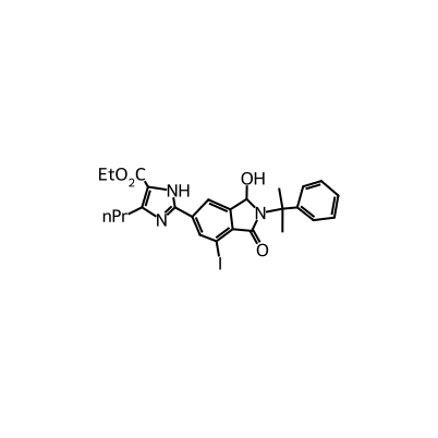 CCCc1nc(-c2cc(I)c3c(c2)C(O)N(C(C)(C)c2ccccc2)C3=O)[nH]c1C(=O)OCC